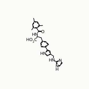 Cc1cc(C)c(C(=O)NC(Cc2ccc(-c3cc(CNc4ncc[nH]4)c[nH]3)cc2)C(=O)O)c(C)c1